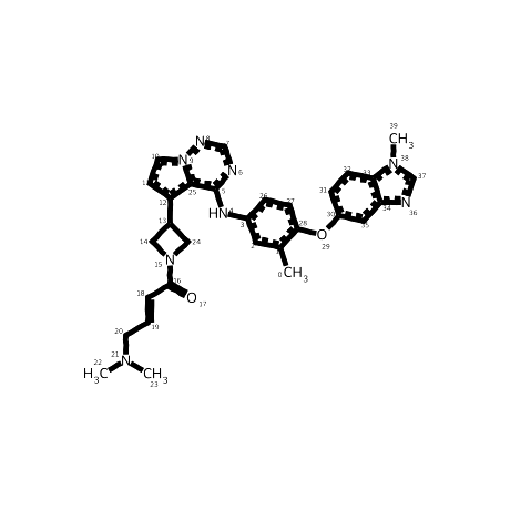 Cc1cc(Nc2ncnn3ccc(C4CN(C(=O)/C=C/CN(C)C)C4)c23)ccc1Oc1ccc2c(c1)ncn2C